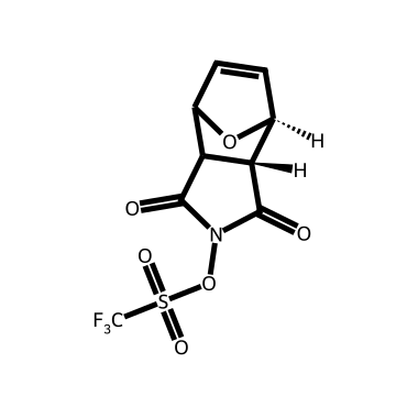 O=C1C2C3C=C[C@H](O3)[C@@H]2C(=O)N1OS(=O)(=O)C(F)(F)F